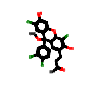 CC(C)C(=O)CCC1=CC2C(Oc3cc(O)c(Cl)cc3C2(OC=O)c2ccc(Cl)c(Cl)c2)C(Cl)=C1O